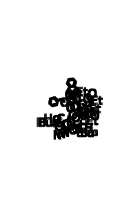 CCC(=O)O[C@H](CC)CC(=O)NC1[C@H](OCC2OC(O[Si](C)(C)C(C)(C)C)C(N=[N+]=[N-])[C@@H](OC(=O)C[C@H](C)CC)[C@@H]2C)OC(COCc2ccccc2)[C@@H](OP2(=O)OCc3ccccc3CO2)[C@@H]1OC(O)C[C@@H](CC)OC(=O)CC